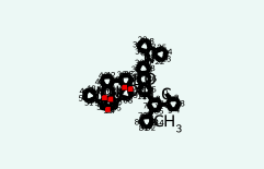 Cc1ccccc1-c1cc(-c2cc3c4c(c2)Oc2cc(-n5c6ccccc6c6ccccc65)ccc2B4c2ccc(-c4cccc(-n5c6ccccc6c6ccccc65)c4-n4c5ccccc5c5ccccc54)cc2O3)cc(-c2ccccc2C)c1